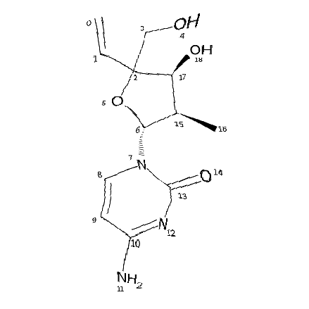 C=CC1(CO)O[C@@H](n2ccc(N)nc2=O)[C@H](C)[C@@H]1O